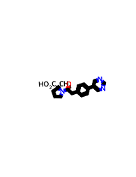 C[C@]1(C(=O)O)CCCN1C(=O)Cc1ccc(-c2cncnc2)cc1